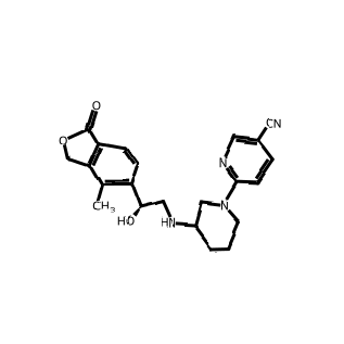 Cc1c([C@H](O)CNC2CCCN(c3ccc(C#N)cn3)C2)ccc2c1COC2=O